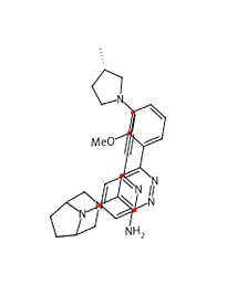 COc1ccccc1-c1cc(N2CC3CCC(C2)N3c2ccnc(C#CCN3CC[C@H](C)C3)c2)c(N)nn1